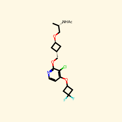 CC(=O)N[C@@H](C)CO[C@H]1C[C@H](COc2nccc(OC3CC(F)(F)C3)c2Cl)C1